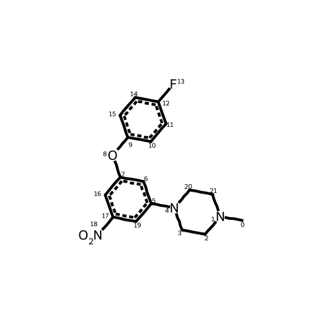 CN1CCN(c2cc(Oc3ccc(F)cc3)cc([N+](=O)[O-])c2)CC1